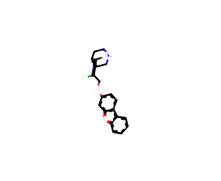 F/C(COc1ccc2c(c1)oc1ccccc12)=C1/CN2CCC1CC2